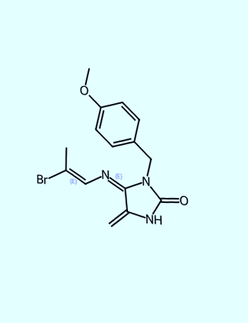 C=C1NC(=O)N(Cc2ccc(OC)cc2)/C1=N/C=C(\C)Br